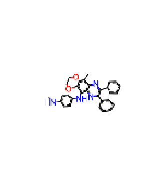 CNc1ccc(Nc2c3c(c(C)c4nc(-c5ccccc5)c(-c5ccccc5)nc24)OCCO3)cc1